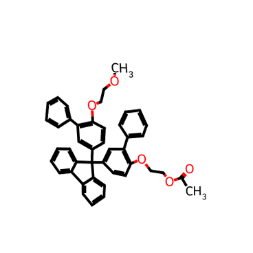 COCCOc1ccc(C2(c3ccc(OCCOC(C)=O)c(-c4ccccc4)c3)c3ccccc3-c3ccccc32)cc1-c1ccccc1